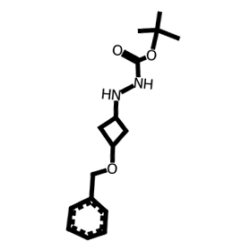 CC(C)(C)OC(=O)NNC1CC(OCc2ccccc2)C1